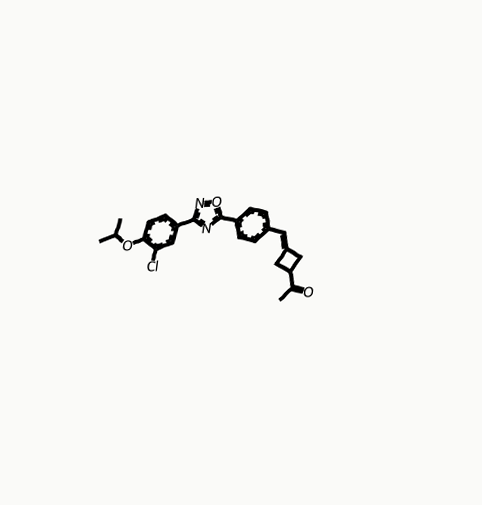 CC(=O)C1CC(=Cc2ccc(-c3nc(-c4ccc(OC(C)C)c(Cl)c4)no3)cc2)C1